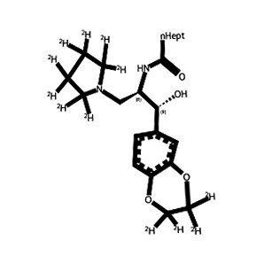 [2H]C1([2H])Oc2ccc([C@@H](O)[C@@H](CN3C([2H])([2H])C([2H])([2H])C([2H])([2H])C3([2H])[2H])NC(=O)CCCCCCC)cc2OC1([2H])[2H]